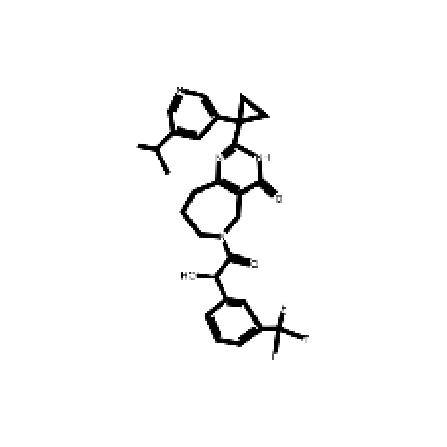 CC(C)c1cncc(C2(c3nc4c(c(=O)[nH]3)CN(C(=O)[C@H](O)c3cccc(C(F)(F)F)c3)CCC4)CC2)c1